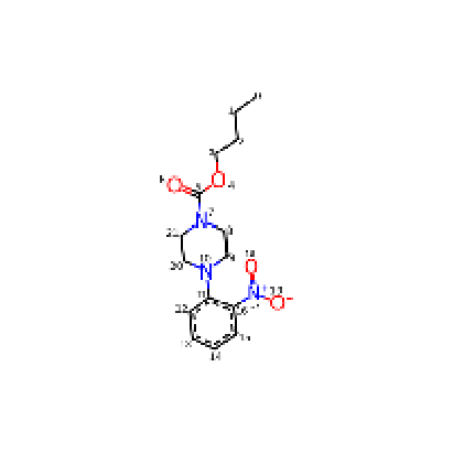 CCCCOC(=O)N1CCN(c2ccccc2[N+](=O)[O-])CC1